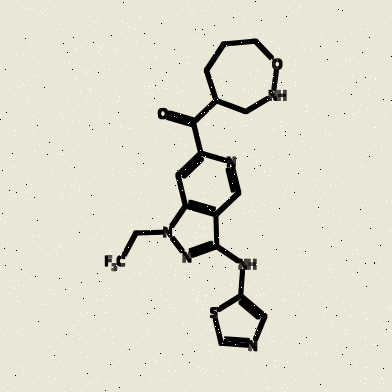 O=C(c1cc2c(cn1)c(Nc1cncs1)nn2CC(F)(F)F)C1CCCONC1